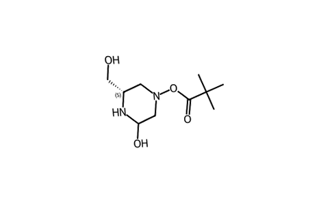 CC(C)(C)C(=O)ON1CC(O)N[C@H](CO)C1